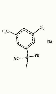 N#C[B-](F)(C#N)c1cc(C(F)(F)F)cc(C(F)(F)F)c1.[Na+]